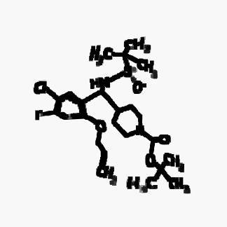 C=CCOc1cc(F)c(Cl)cc1C(N[S@@+]([O-])C(C)(C)C)C1CCN(C(=O)OC(C)(C)C)CC1